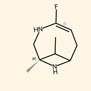 CC1C2C/C=C(/F)NC[C@]1(C)N2